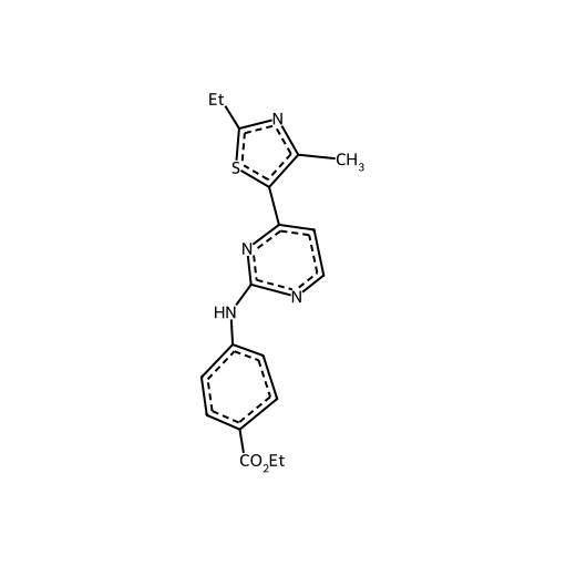 CCOC(=O)c1ccc(Nc2nccc(-c3sc(CC)nc3C)n2)cc1